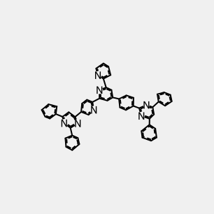 c1ccc(-c2cc(-c3ccccc3)nc(-c3ccc(-c4cc(-c5ccccn5)nc(-c5ccc(-c6cc(-c7ccccc7)nc(-c7ccccc7)n6)cn5)c4)cc3)n2)cc1